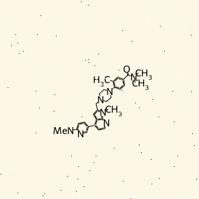 CNc1ccc(-c2ccnc3c2cc(CN2CCN(c4ccc(C(=O)N(C)C)cc4C)CC2)n3C)cn1